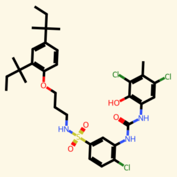 CCC(C)(C)c1ccc(OCCCNS(=O)(=O)c2ccc(Cl)c(NC(=O)Nc3cc(Cl)c(C)c(Cl)c3O)c2)c(C(C)(C)CC)c1